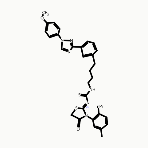 CCCc1ccc(C)cc1N1C(=O)CS/C1=N\C(=S)NCCCCc1cccc(-c2ncn(-c3ccc(OC(F)(F)F)cc3)n2)c1